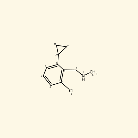 CNCc1c(Cl)cccc1C1CC1